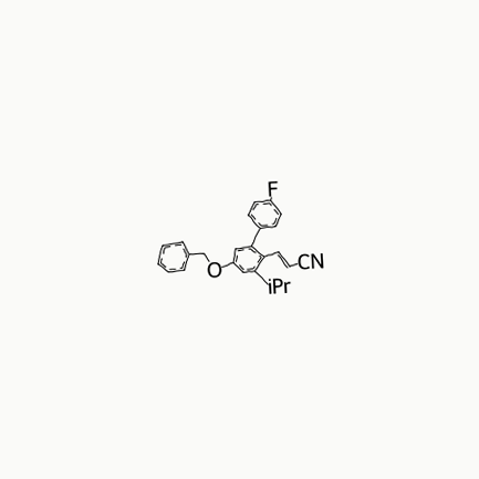 CC(C)c1cc(OCc2ccccc2)cc(-c2ccc(F)cc2)c1C=CC#N